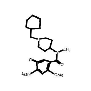 COc1cc(NC(C)=O)c(Cl)cc1C(=O)N(C)C1CCN(CC2CCCCC2)CC1